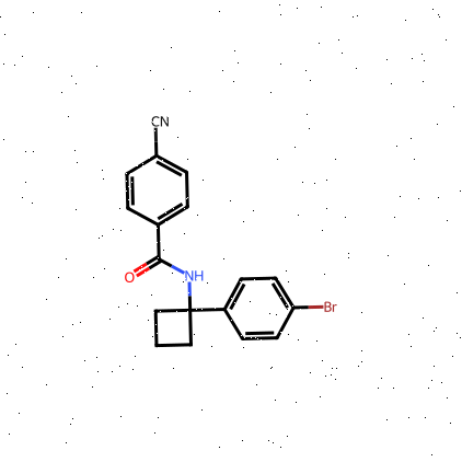 N#Cc1ccc(C(=O)NC2(c3ccc(Br)cc3)CCC2)cc1